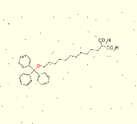 O=C(O)C(CCCCCCCCCCCOC(c1ccccc1)(c1ccccc1)c1ccccc1)C(=O)O